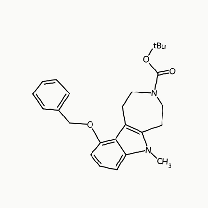 Cn1c2c(c3c(OCc4ccccc4)cccc31)CCN(C(=O)OC(C)(C)C)CC2